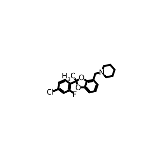 CC1(c2ccc(Cl)cc2F)Oc2cccc(CN3CCCCC3)c2O1